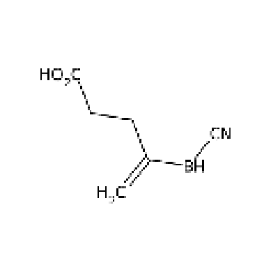 C=C(BC#N)CCC(=O)O